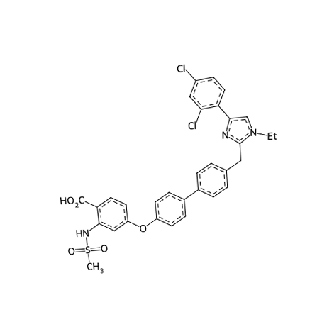 CCn1cc(-c2ccc(Cl)cc2Cl)nc1Cc1ccc(-c2ccc(Oc3ccc(C(=O)O)c(NS(C)(=O)=O)c3)cc2)cc1